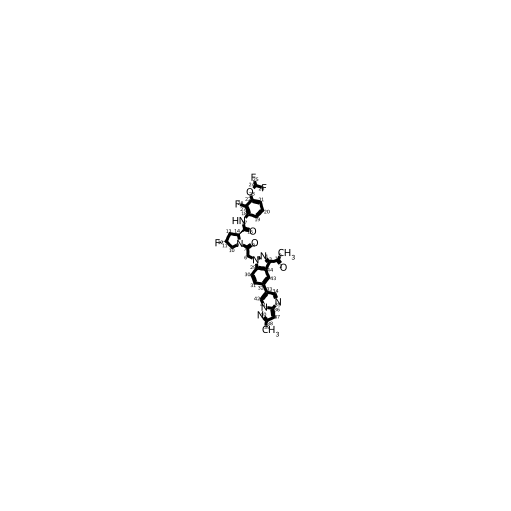 CC(=O)c1nn(CC(=O)N2C[C@H](F)C[C@H]2C(=O)Nc2cccc(OC(F)F)c2F)c2ccc(-c3cnc4cc(C)nn4c3)cc12